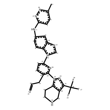 Cc1ccc(Nc2ccc3c(c2)ncn3-c2ccc(CC=O)c(-n3nc(C(F)(F)F)c4c3CCNC4)n2)nn1